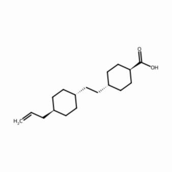 C=CC[C@H]1CC[C@H](CC[C@H]2CC[C@H](C(=O)O)CC2)CC1